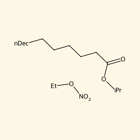 CCCCCCCCCCCCCCCC(=O)OC(C)C.CCO[N+](=O)[O-]